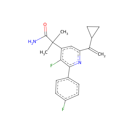 C=C(c1cc(C(C)(C)C(N)=O)c(F)c(-c2ccc(F)cc2)n1)C1CC1